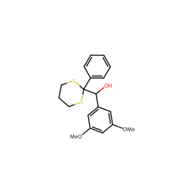 COc1cc(OC)cc(C(O)C2(c3ccccc3)SCCCS2)c1